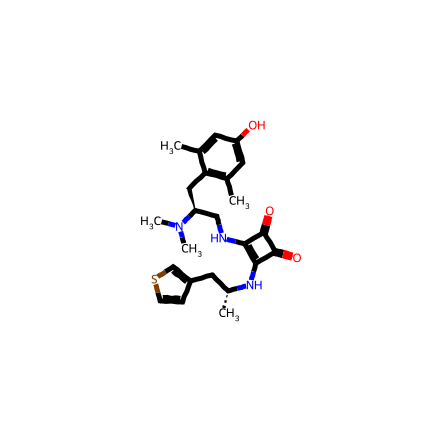 Cc1cc(O)cc(C)c1C[C@@H](CNc1c(N[C@H](C)Cc2ccsc2)c(=O)c1=O)N(C)C